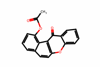 CC(=O)Oc1cccc2ccc3oc4ccccc4c(=O)c3c12